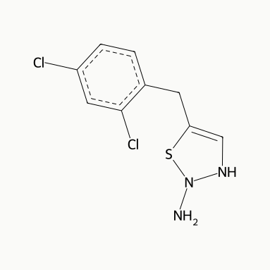 NN1NC=C(Cc2ccc(Cl)cc2Cl)S1